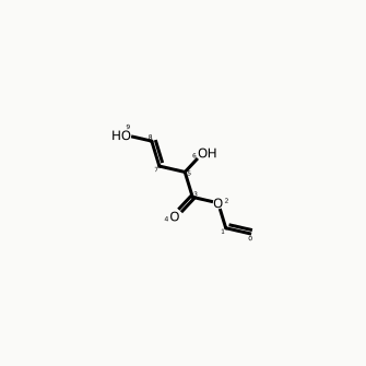 C=COC(=O)C(O)C=CO